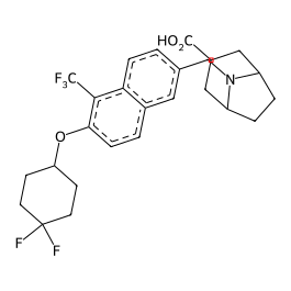 O=C(O)C1CC2CCC(C1)N2Cc1ccc2c(C(F)(F)F)c(OC3CCC(F)(F)CC3)ccc2c1